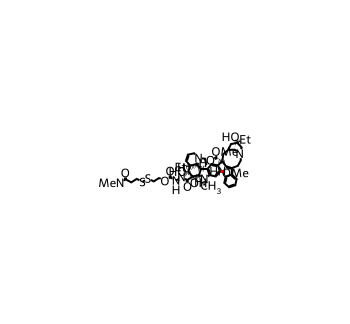 CC[C@]1(O)CC2CN(CCc3c([nH]c4ccccc34)[C@@](C(=O)OC)(c3cc4c(cc3OC)N(C)[C@H]3[C@@](O)(C(=O)NNC(=O)OCCSSCCC(=O)NC)[C@H](O)[C@]5(CC)C=CCN6CC[C@]43[C@@H]65)C2)C1